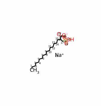 CCCCCCCCCCCCCCCCC(CS(=O)(=O)O)C(=O)[O-].[Na+]